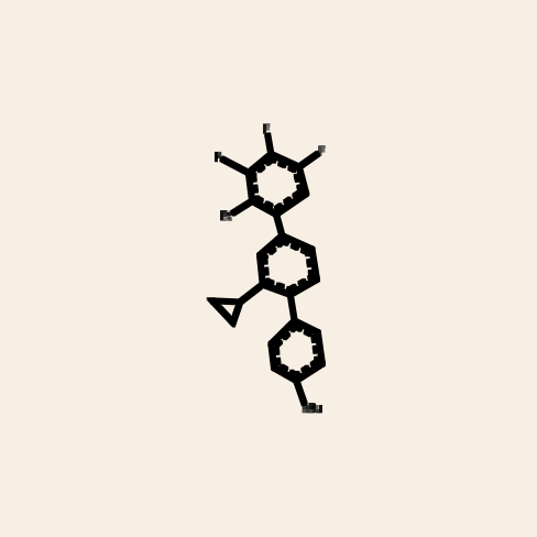 CCCCc1ccc(-c2ccc(-c3cc(F)c(F)c(F)c3CC)cc2C2CC2)cc1